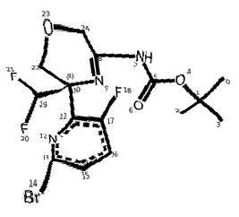 CC(C)(C)OC(=O)NC1=N[C@@](c2nc(Br)ccc2F)(C(F)F)COC1